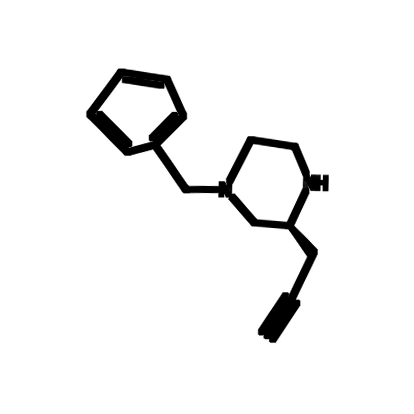 C#CC[C@H]1CN(Cc2ccccc2)CCN1